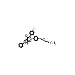 CCCCOCCc1ccc(-c2nc3nn(-c4ccccc4)cc3c(=O)n2-c2ccc(Cl)cc2)cc1